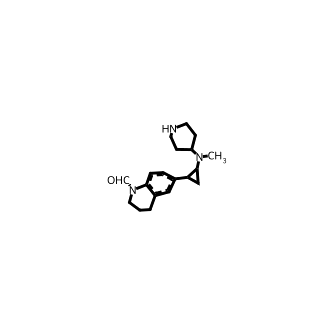 CN(C1CCNCC1)C1CC1c1ccc2c(c1)CCCN2C=O